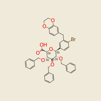 O=C(O)[C@H]1O[C@@H](c2ccc(Br)c(Cc3ccc4c(c3)OCCO4)c2)[C@H](OCc2ccccc2)[C@@H](OCc2ccccc2)[C@@H]1OCc1ccccc1